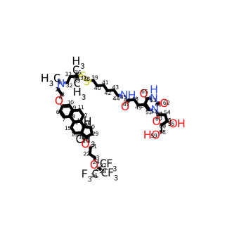 CN(CCOc1ccc2c(c1)CCC1C2CC[C@]2(C)[C@@H](OCCCOC(C(F)(F)F)(C(F)(F)F)C(F)(F)F)CC[C@@H]12)CCC(C)(C)SSCCCCCCNC(=O)CCc1cn([C@H]2C[C@H](O)[C@@H](CO)O2)c(=O)[nH]c1=O